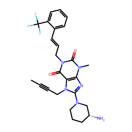 CC#CCn1c(N2CCC[C@@H](N)C2)nc2c1c(=O)n(CC=Cc1ccccc1C(F)(F)F)c(=O)n2C